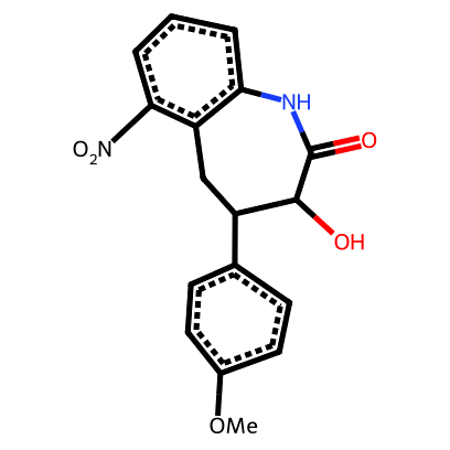 COc1ccc(C2Cc3c(cccc3[N+](=O)[O-])NC(=O)C2O)cc1